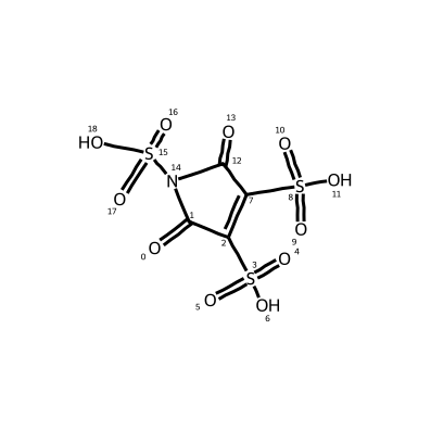 O=C1C(S(=O)(=O)O)=C(S(=O)(=O)O)C(=O)N1S(=O)(=O)O